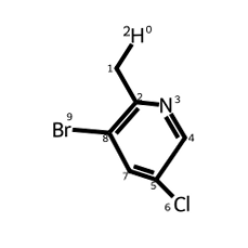 [2H]Cc1ncc(Cl)cc1Br